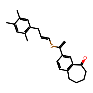 C=C(S/C=C/Cc1cc(C)c(C)cc1C)c1ccc2c(c1)C(=O)CCCC2